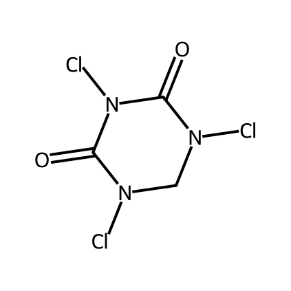 O=C1N(Cl)CN(Cl)C(=O)N1Cl